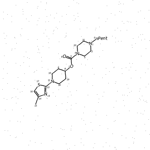 CCCCCN1CCN(C(=O)OC2CCN(c3nc(C)cs3)CC2)CC1